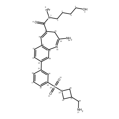 CCCN(CCCCO)C(=O)C1=Cc2ccc(-c3cccc(S(=O)(=O)N4CC(CN)C4)c3)cc2N=C(N)C1